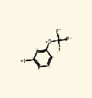 FC(F)(F)Oc1[c]ccc(I)c1